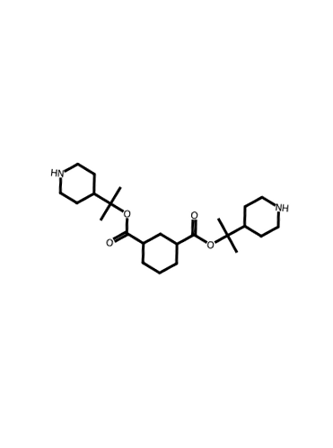 CC(C)(OC(=O)C1CCCC(C(=O)OC(C)(C)C2CCNCC2)C1)C1CCNCC1